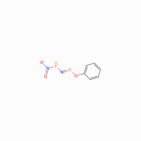 O=[N+]([O-])PN=POc1ccccc1